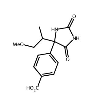 COCC(C)C1(c2ccc(C(=O)O)cc2)NC(=O)NC1=O